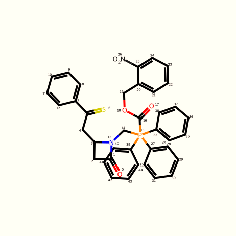 O=C1CC(CC(=S)c2ccccc2)N1CP(C(=O)OCc1ccccc1[N+](=O)[O-])(c1ccccc1)(c1ccccc1)c1ccccc1